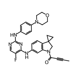 CC#CC(=O)N1CC2(CC2)c2ccc(Nc3nc(Nc4ccc(N5CCOCC5)cc4)ncc3F)cc21